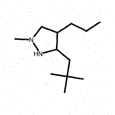 CCCC1CN(C)NC1CC(C)(C)C